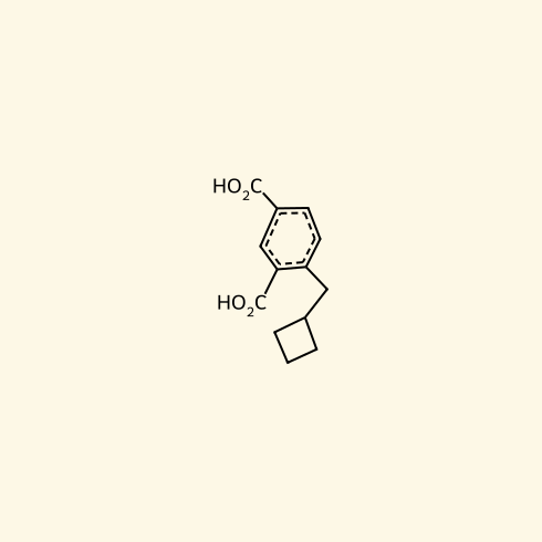 O=C(O)c1ccc(CC2CCC2)c(C(=O)O)c1